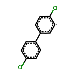 Clc1[c]cc(-c2ccc(Cl)cc2)cc1